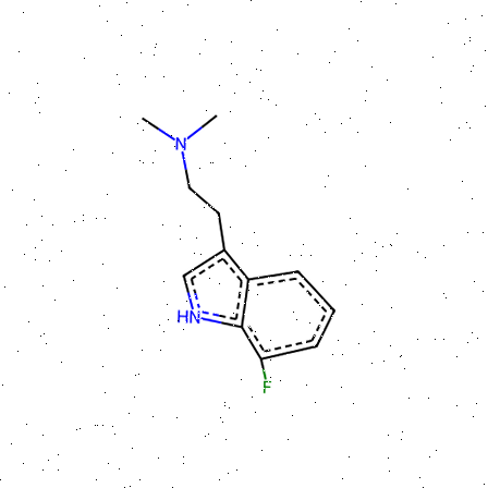 CN(C)CCc1c[nH]c2c(F)cccc12